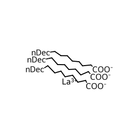 CCCCCCCCCCCCCCCCCC(=O)[O-].CCCCCCCCCCCCCCCCCC(=O)[O-].CCCCCCCCCCCCCCCCCC(=O)[O-].[La+3]